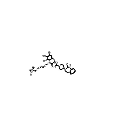 O=C(N=C=C=CN=C=C=N[SH]1(=O)CN1)[C@@H](Cc1cc(Br)c(O)c(Br)c1)OC(=O)N1CCC(N2CCc3ccccc3NC2=O)CC1